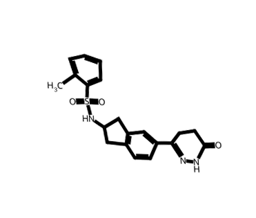 Cc1ccccc1S(=O)(=O)NC1Cc2ccc(C3=NNC(=O)CC3)cc2C1